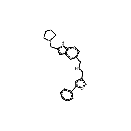 c1ccc(-c2cc(CNCc3ccc4[nH]c(CN5CCCC5)cc4c3)no2)cc1